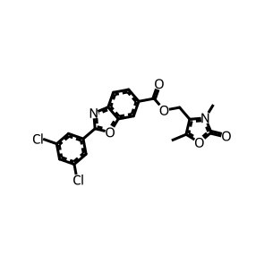 Cc1oc(=O)n(C)c1COC(=O)c1ccc2nc(-c3cc(Cl)cc(Cl)c3)oc2c1